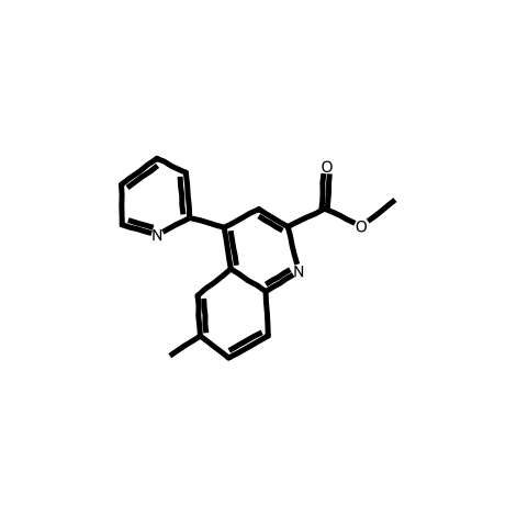 COC(=O)c1cc(-c2ccccn2)c2cc(C)ccc2n1